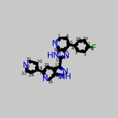 Fc1ccc(-c2ccnc3[nH]c(-c4n[nH]c5cnc(-c6ccncc6)cc45)nc23)cc1